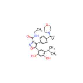 CCNC(=O)c1noc(-c2cc(C(C)C)c(O)cc2O)c1-c1ccc(C2(N3CCOCC3)CC2)cc1